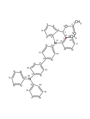 CCC(OC(C)=O)c1ccccc1N(c1ccccc1)c1ccc(-c2ccc(N(c3ccccc3)c3ccccc3)cc2)cc1